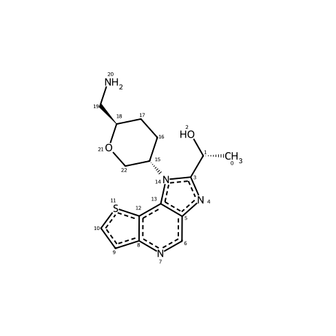 C[C@@H](O)c1nc2cnc3ccsc3c2n1[C@H]1CC[C@H](CN)OC1